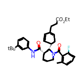 CCOC(=O)CCC1=CCC([C@H]2[C@@H](C(=O)Nc3cccc(C(C)(C)C)c3)CCCN2C(=O)c2c(C)cccc2F)C=C1